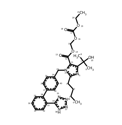 CCCCc1nc(C(C)(C)O)c(C(=O)OCOC(=O)OCC)n1Cc1ccc(-c2ccccc2-c2nnn[nH]2)cc1